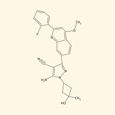 COc1cc(-c2ccccc2F)nc2cc(-c3nn(C4CC(C)(O)C4)c(N)c3C#N)ccc12